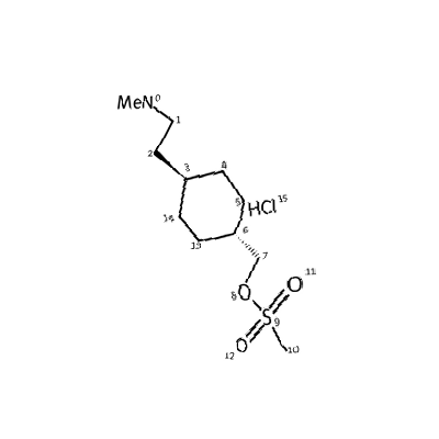 CNCC[C@H]1CC[C@H](COS(C)(=O)=O)CC1.Cl